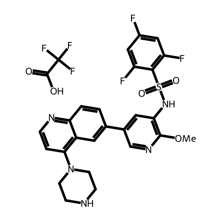 COc1ncc(-c2ccc3nccc(N4CCNCC4)c3c2)cc1NS(=O)(=O)c1c(F)cc(F)cc1F.O=C(O)C(F)(F)F